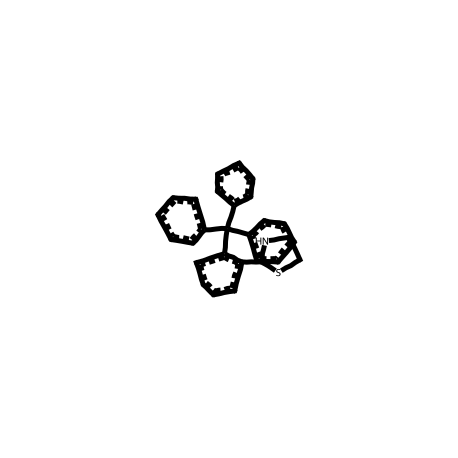 c1ccc(C(c2ccccc2)(c2ccccc2)c2ccccc2C2NCCS2)cc1